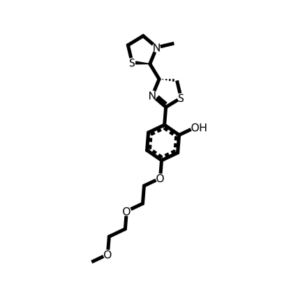 COCCOCCOc1ccc(C2=N[C@H]([C@H]3SCCN3C)CS2)c(O)c1